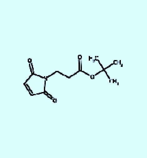 CC(C)(C)OC(=O)CCN1C(=O)C=CC1=O